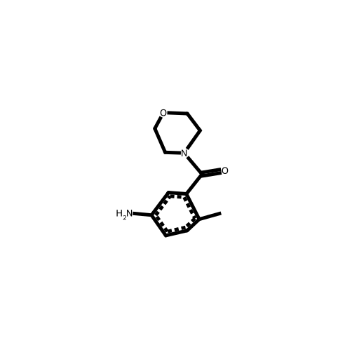 Cc1ccc(N)cc1C(=O)N1CCOCC1